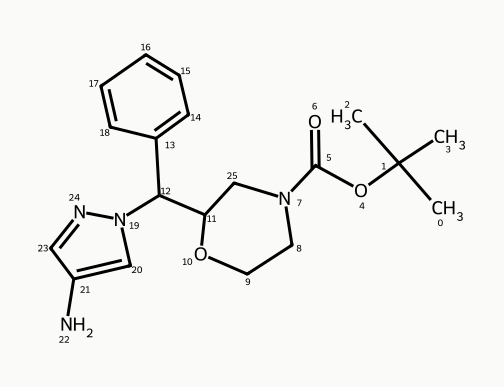 CC(C)(C)OC(=O)N1CCOC(C(c2ccccc2)n2cc(N)cn2)C1